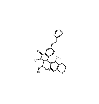 Cc1c(-c2c(C(OC(C)(C)C)C(=O)O)n(C)c(=O)c3cc(OCc4ccccn4)ccc23)ccc2c1CCCO2